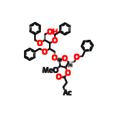 COC1C(OC(=O)CCC(C)=O)[C@@H](COCc2ccccc2)O[C@H]1OCC(OCc1ccccc1)C(OCc1ccccc1)C(CO)OCc1ccccc1